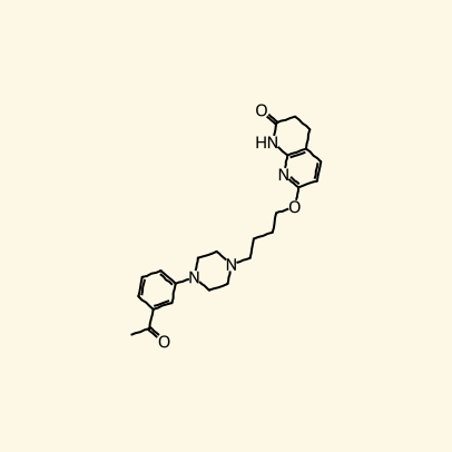 CC(=O)c1cccc(N2CCN(CCCCOc3ccc4c(n3)NC(=O)CC4)CC2)c1